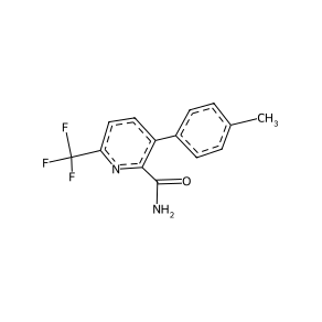 Cc1ccc(-c2ccc(C(F)(F)F)nc2C(N)=O)cc1